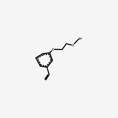 C=Cc1cccc(OCCOC(C)C)c1